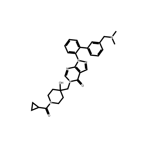 CN(C)Cc1cccc(-c2ccccc2-n2ncc3c(=O)n(CC4(O)CCN(C(=O)C5CC5)CC4)cnc32)c1